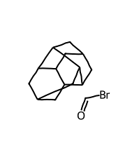 C1C2CC3C4CC5CC(C14)C(C2)C3C5.O=CBr